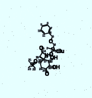 CC(C)(C)[Si](C)(COCc1ccccc1)ON1C(=O)C[C@@]12[C@@H](O[Si](C)(C)C)CC(=O)[C@@H](O)[C@H]2O